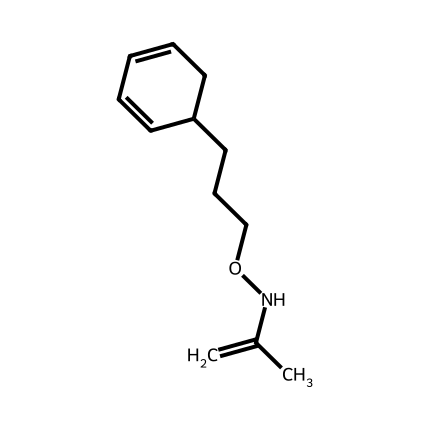 C=C(C)NOCCCC1C=CC=CC1